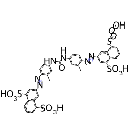 Cc1cc(NC(=O)Nc2ccc(/N=N/c3cc(S(=O)(=O)O)c4cccc(S(=O)(=O)O)c4c3)c(C)c2)ccc1/N=N/c1cc(S(=O)(=O)O)c2cccc(SOOO)c2c1